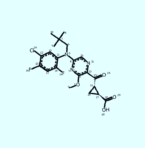 COc1nc(N(CC(C)(C)C)c2cc(Cl)c(F)cc2F)cnc1C(=O)[C@H]1C[C@@H]1C(=O)O